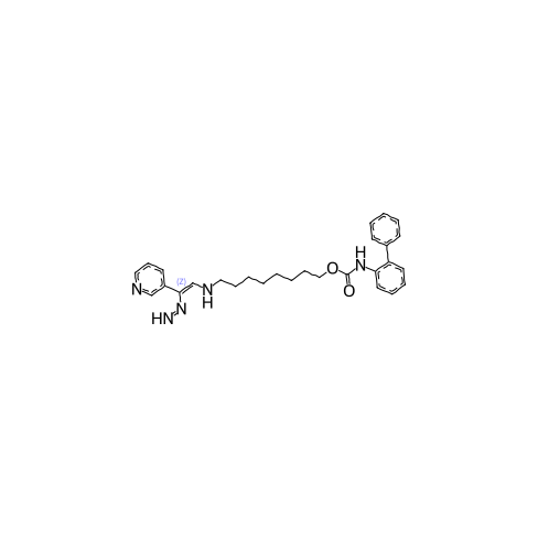 N=N/C(=C\NCCCCCCCCOC(=O)Nc1ccccc1-c1ccccc1)c1cccnc1